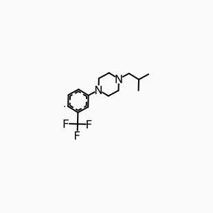 CC(C)CN1CCN(c2cc[c]c(C(F)(F)F)c2)CC1